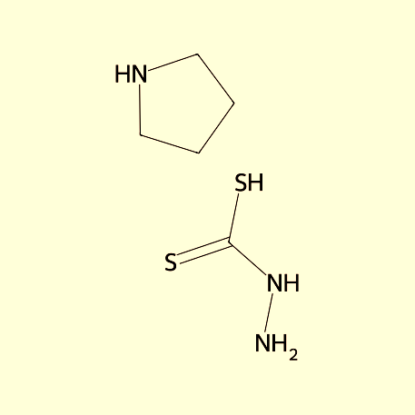 C1CCNC1.NNC(=S)S